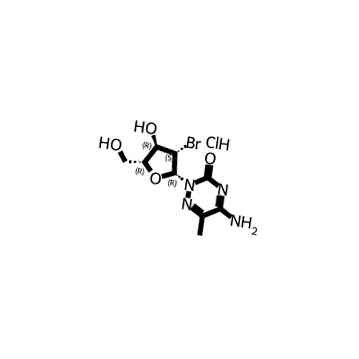 Cc1nn([C@@H]2O[C@H](CO)[C@@H](O)[C@@H]2Br)c(=O)nc1N.Cl